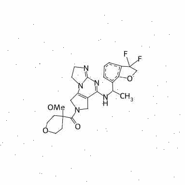 COC1(C(=O)N2CC3=C(C2)N2CCN=C2N=C3NC(C)c2cccc3c2OCC3(F)F)CCOCC1